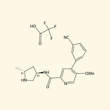 COc1cnc(C(=O)N[C@H]2CN[C@H](C)C2)cc1-c1cccc(C#N)c1.O=C(O)C(F)(F)F